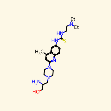 CCN(CC)CCNC(=S)Nc1ccc2nc(N3CCN(CC(N)CO)CC3)cc(C)c2c1